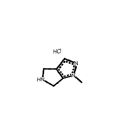 Cl.Cn1ncc2c1CNC2